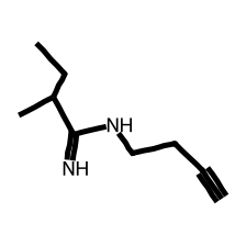 C#CCCNC(=N)C(C)CC